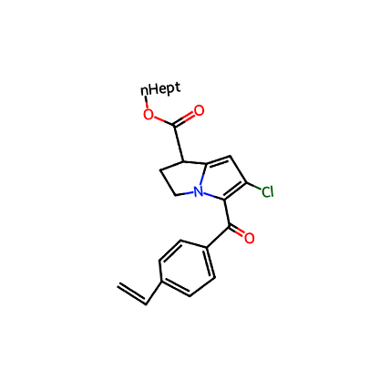 C=Cc1ccc(C(=O)c2c(Cl)cc3n2CCC3C(=O)OCCCCCCC)cc1